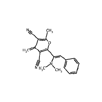 C=C1C(C#N)=C(C)OC(C(=Cc2ccccc2)N(C)C)=C1C#N